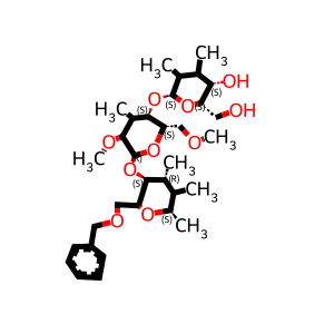 COC[C@@H]1O[C@@H](O[C@@H]2C(COCc3ccccc3)O[C@@H](C)C(C)[C@H]2C)C(OC)C(C)[C@@H]1O[C@H]1O[C@@H](CO)[C@@H](O)C(C)C1C